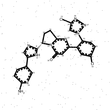 Nc1ccc(-c2cnc([C@@H]3CCc4nc(-c5cc(Cl)ccc5-n5cc(Cl)nn5)cc(=O)n43)[nH]2)cn1